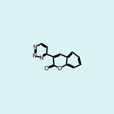 O=c1oc2ccccc2cc1-c1ccnnn1